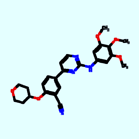 COc1cc(Nc2nccc(-c3ccc(OC4CCOCC4)c(C#N)c3)n2)cc(OC)c1OC